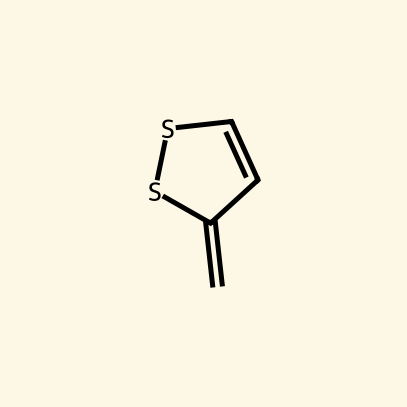 C=C1C=CSS1